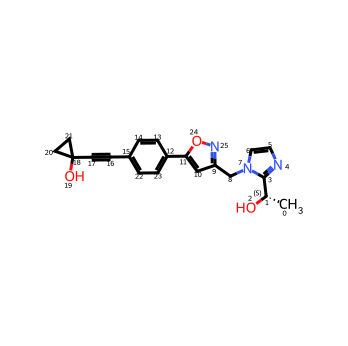 C[C@H](O)c1nccn1Cc1cc(-c2ccc(C#CC3(O)CC3)cc2)on1